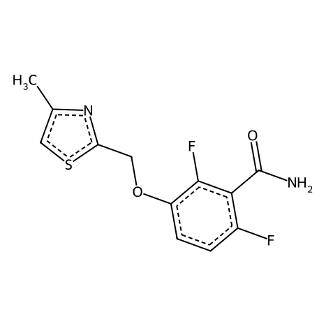 Cc1csc(COc2ccc(F)c(C(N)=O)c2F)n1